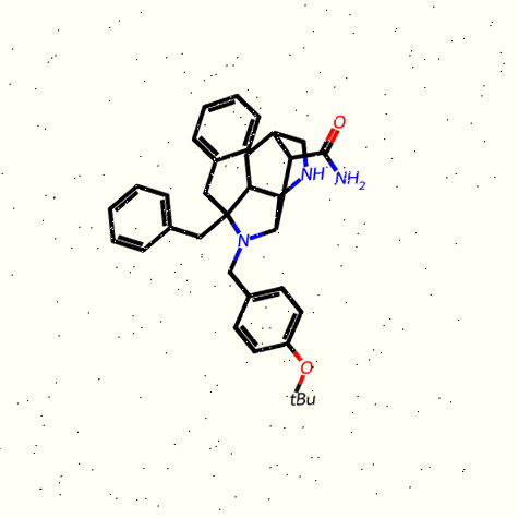 CC(C)(C)Oc1ccc(CN2C3C4NCC(CC4C2(Cc2ccccc2)Cc2ccccc2)C3C(N)=O)cc1